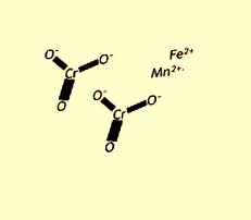 [Fe+2].[Mn+2].[O]=[Cr]([O-])[O-].[O]=[Cr]([O-])[O-]